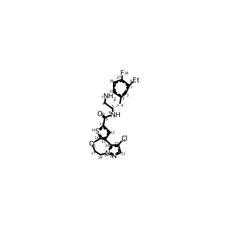 CCc1cc(C[C@@H](CN)NC(=O)c2cc3c(s2)OCCn2ncc(Cl)c2-3)ccc1F